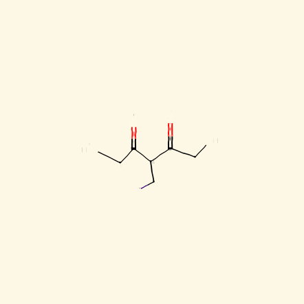 CCC(=O)C(CI)C(=O)CC